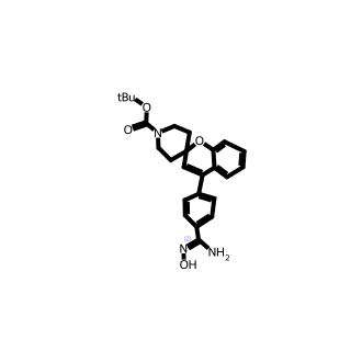 CC(C)(C)OC(=O)N1CCC2(C=C(c3ccc(/C(N)=N/O)cc3)c3ccccc3O2)CC1